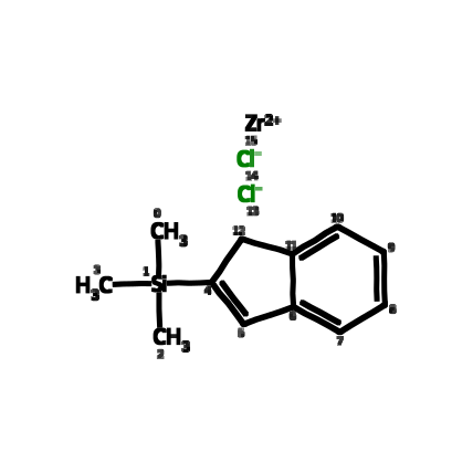 C[Si](C)(C)C1=Cc2ccccc2C1.[Cl-].[Cl-].[Zr+2]